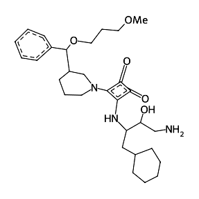 COCCCOC(c1ccccc1)C1CCCN(c2c(NC(CC3CCCCC3)C(O)CN)c(=O)c2=O)C1